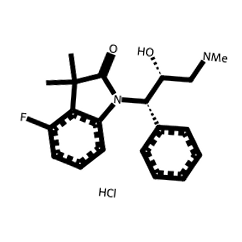 CNC[C@@H](O)[C@H](c1ccccc1)N1C(=O)C(C)(C)c2c(F)cccc21.Cl